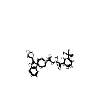 CCCC(=O)C1(c2ccccc2)CCN(C(=O)CNC(=O)c2cccc(C(F)(F)F)c2)CC1